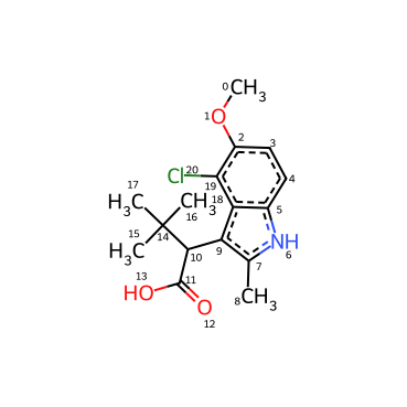 COc1ccc2[nH]c(C)c(C(C(=O)O)C(C)(C)C)c2c1Cl